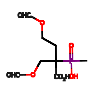 CP(=O)(O)C(CCOC=O)(COC=O)C(=O)O